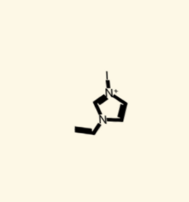 C=Cn1cc[n+](I)c1